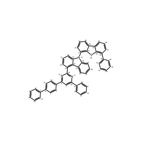 c1ccc(-c2ccc(-c3cc(-c4ccccc4)nc(-c4cccc5c4c4ccccc4n5-c4cccc5c4sc4c(-c6ccccc6)cccc45)n3)cc2)cc1